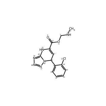 CNCOC(=O)C1=CC(c2ccccc2Cl)n2nnnc2N1